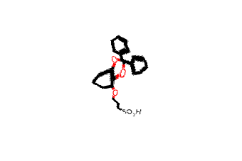 O=S(=O)(O)CCCOC1CCCC2OC(c3ccccc3)(c3ccccc3)OC12